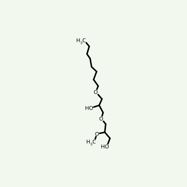 CCCCCCCCOCC(O)COCC(CO)OC